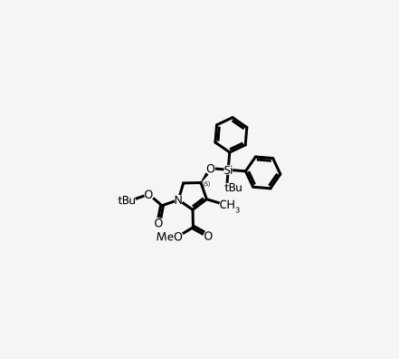 COC(=O)C1=C(C)[C@H](O[Si](c2ccccc2)(c2ccccc2)C(C)(C)C)CN1C(=O)OC(C)(C)C